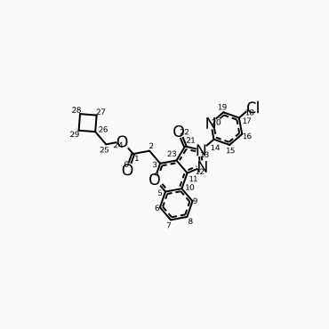 O=C(Cc1oc2ccccc2c2nn(-c3ccc(Cl)cn3)c(=O)c1-2)OCC1CCC1